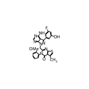 COc1ccccc1-n1c(Cn2nc(-c3cc(O)cc(F)c3)c3c(N)ncnc32)nc2scc(C)c2c1=O